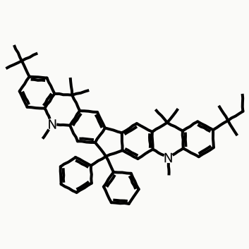 CCC(C)(C)c1ccc2c(c1)C(C)(C)c1cc3c(cc1N2C)C(c1ccccc1)(c1ccccc1)c1cc2c(cc1-3)C(C)(C)c1cc(C(C)(C)C)ccc1N2C